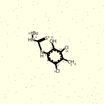 Cc1c(Cl)cc(NC(=S)NC(C)(C)C)c(O)c1Cl